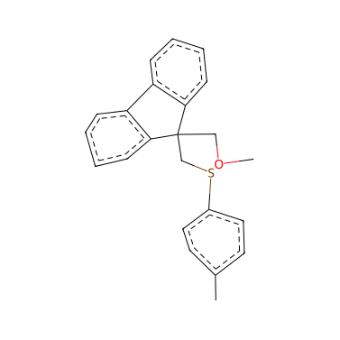 COCC1(CSc2ccc(C)cc2)c2ccccc2-c2ccccc21